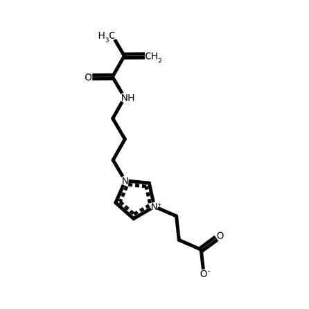 C=C(C)C(=O)NCCCn1cc[n+](CCC(=O)[O-])c1